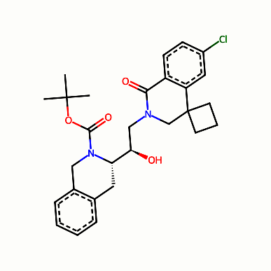 CC(C)(C)OC(=O)N1Cc2ccccc2C[C@H]1[C@H](O)CN1CC2(CCC2)c2cc(Cl)ccc2C1=O